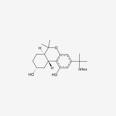 [CH2]CCCCCC(C)(C)c1cc(O)c2c(c1)OC(C)(C)[C@@H]1CC[C@@H](O)C[C@@H]21